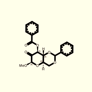 CO[C@@H]1O[C@@H]2COC(c3ccccc3)O[C@H]2[C@H](OC(=O)c2ccccc2)C1=O